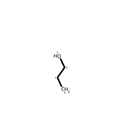 [CH2]C[CH]O